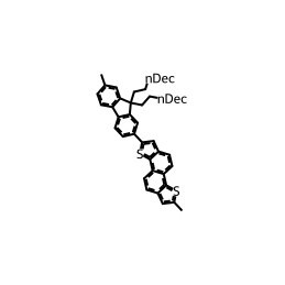 CCCCCCCCCCCCC1(CCCCCCCCCCCC)c2cc(C)ccc2-c2ccc(-c3cc4ccc5c(ccc6cc(C)sc65)c4s3)cc21